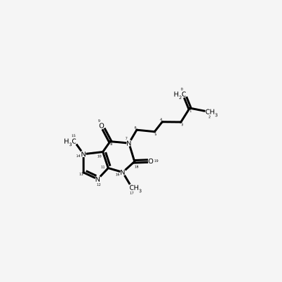 C=C(C)CCCCn1c(=O)c2c(ncn2C)n(C)c1=O